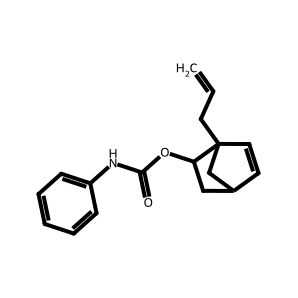 C=CCC12C=CC(CC1OC(=O)Nc1ccccc1)C2